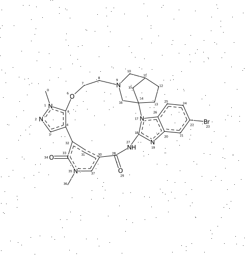 Cn1ncc2c1OCCN1CC3CCC(C3)(C1)n1c(nc3cc(Br)ccc31)NC(=O)c1cc-2c(=O)n(C)c1